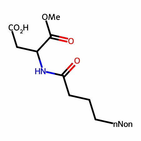 CCCCCCCCCCCCC(=O)NC(CC(=O)O)C(=O)OC